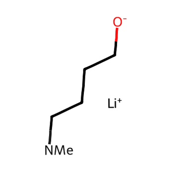 CNCCCC[O-].[Li+]